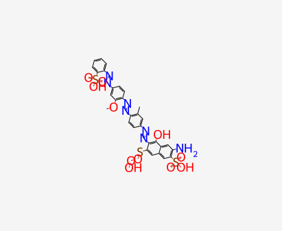 COc1cc(N=Nc2ccccc2S(=O)(=O)O)ccc1N=Nc1ccc(N=Nc2c(SOOO)cc3cc(S(=O)(=O)O)c(N)cc3c2O)cc1C